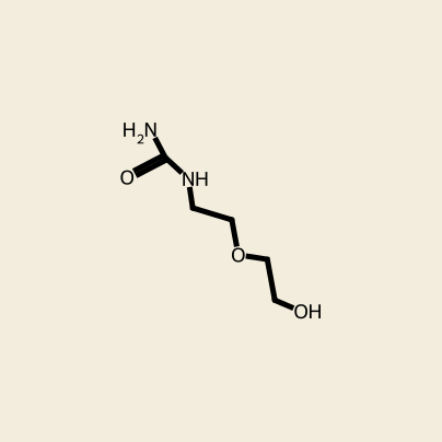 NC(=O)NCCOCCO